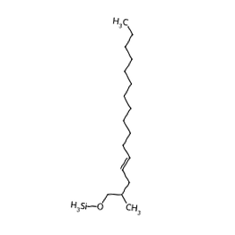 CCCCCCCCCCCC=CCC(C)CO[SiH3]